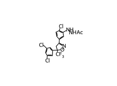 CC(=O)NNc1cc(C2=NOC(c3cc(Cl)cc(Cl)c3)(C(F)(F)F)C2)ccc1Cl